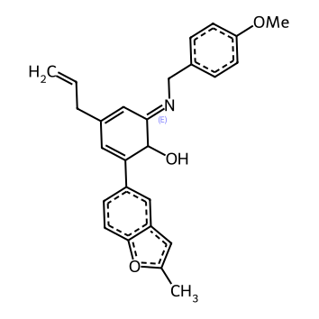 C=CCC1=C/C(=N\Cc2ccc(OC)cc2)C(O)C(c2ccc3oc(C)cc3c2)=C1